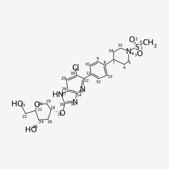 CS(=O)(=O)N1CCC(c2ccc(-c3nc4nc(O[C@H]5COC(CO)[C@@H](O)C5)[nH]c4cc3Cl)cc2)CC1